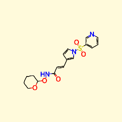 O=C(/C=C/c1ccn(S(=O)(=O)c2cccnc2)c1)NOC1CCCCO1